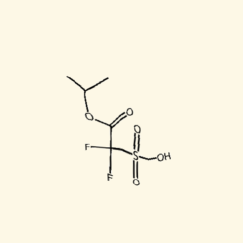 CC(C)OC(=O)C(F)(F)S(=O)(=O)O